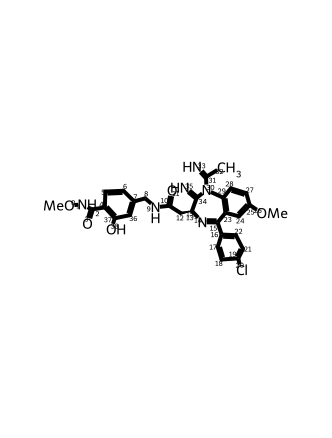 CONC(=O)c1ccc(CNC(=O)C[C@@H]2N=C(c3ccc(Cl)cc3)c3cc(OC)ccc3N(C(C)=N)C2=N)cc1O